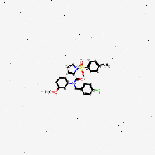 COC1CCCC(N(Cc2ccc(Cl)cc2)C(=O)[C@@H]2CCCN2S(=O)(=O)c2ccc(C)cc2)C1